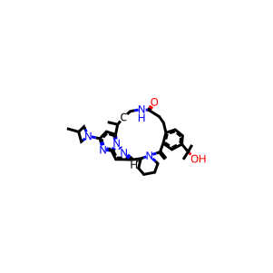 C=C1c2cc(C(C)(C)O)ccc2CCC(=O)NCCC(C)c2cc(N3CC(C)C3)nc3cc(nn23)[C@@H]2CCCCN12